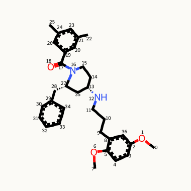 COc1ccc(OC)c(CCCN[C@H]2CCN(C(=O)c3cc(C)cc(C)c3)[C@@H](Cc3ccccc3)C2)c1